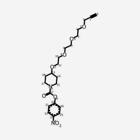 C#CCOCCOCCOCCOC1CCN(C(=O)Oc2ccc([N+](=O)[O-])cc2)CC1